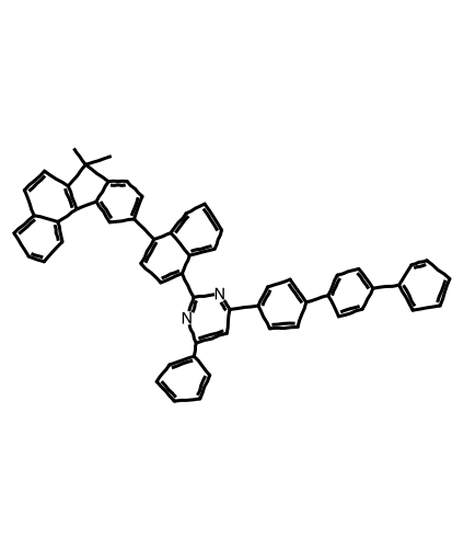 CC1(C)c2ccc(-c3ccc(-c4nc(-c5ccccc5)cc(-c5ccc(-c6ccc(-c7ccccc7)cc6)cc5)n4)c4ccccc34)cc2-c2c1ccc1ccccc21